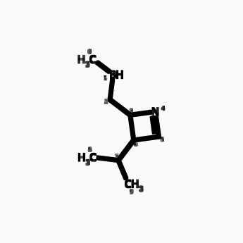 CBCC1N=CC1C(C)C